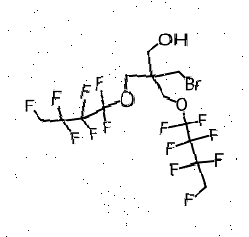 OCC(CBr)(COC(F)(F)C(F)(F)C(F)(F)CF)COC(F)(F)C(F)(F)C(F)(F)CF